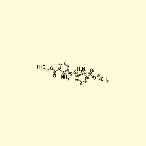 CCOC(=O)c1cccc(SSc2cccc(C(=O)OCC)c2N)c1N